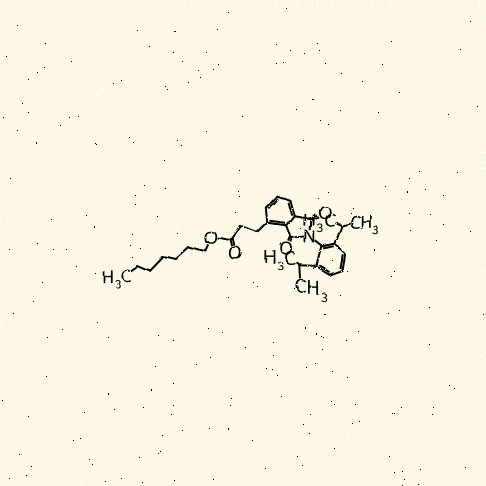 CCCCCCCOC(=O)CCc1cccc2c1C(=O)N(c1c(C(C)C)cccc1C(C)C)C2=O